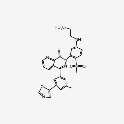 Cc1cc(-c2cnco2)cc(-c2nn(-c3cc(NCCC(=O)O)ccc3S(C)(=O)=O)c(=O)c3ncccc23)c1